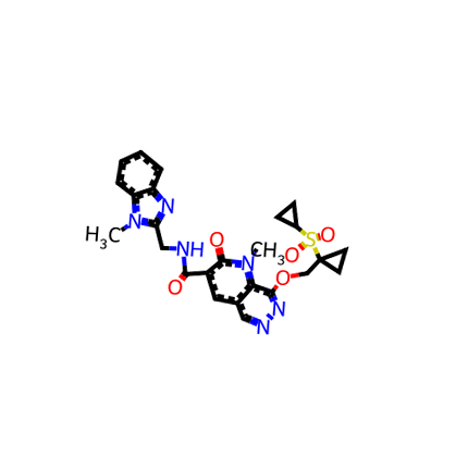 Cn1c(CNC(=O)c2cc3cnnc(OCC4(S(=O)(=O)C5CC5)CC4)c3n(C)c2=O)nc2ccccc21